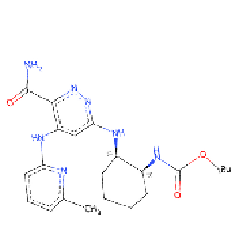 Cc1cccc(Nc2cc(N[C@@H]3CCCC[C@@H]3NC(=O)OC(C)(C)C)nnc2C(N)=O)n1